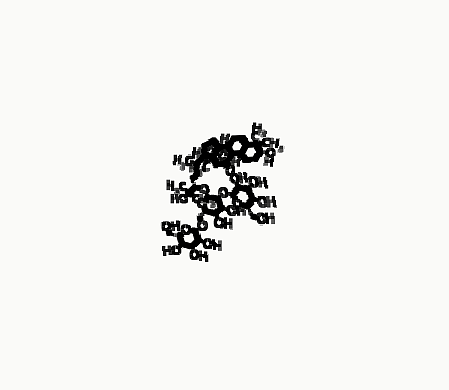 C[C@@H](CC[C@H](O[C@H]1O[C@@H](CO[C@H]2O[C@@H](CO)[C@H](O)[C@@H](O)[C@@H]2O)[C@H](O)[C@@H](O)[C@@H]1O[C@H]1O[C@@H](CO)[C@H](O)[C@@H](O)[C@@H]1O)C(C)(C)O)C1CC[C@]2(C)[C@H]3CC=C4[C@H](CC[C@@H](O)C4(C)C)[C@@]3(C)C(=O)C[C@@]12C